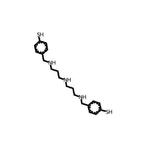 Sc1ccc(CNCCCNCCCNCc2ccc(S)cc2)cc1